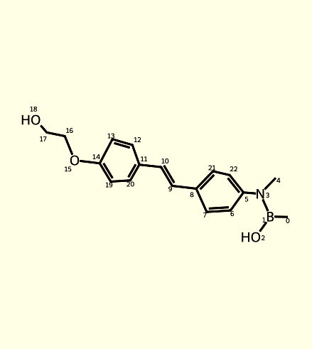 CB(O)N(C)c1ccc(/C=C/c2ccc(OCCO)cc2)cc1